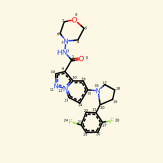 O=C(NN1CCOCC1)c1cnn2ccc(N3CCCC3c3cc(F)ccc3F)cc12